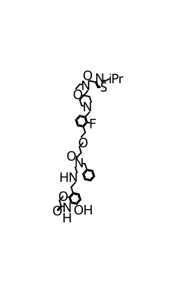 CC(C)c1nc(C(=O)N2CCOC3(CCN(Cc4cccc(CCOCCC(=O)N(CCNCCc5ccc(O)c6c5OCC(=O)N6)Cc5ccccc5)c4F)CC3)C2)cs1